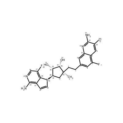 C[C@]1(CCc2cc(F)c3cc(Cl)c(N)nc3c2)C[C@@H](n2ccc3c(N)ncc(F)c32)[C@H](O)[C@@H]1O